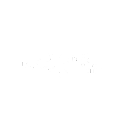 COc1ccc2c(=O)c(-c3ccc(C4(NC(=O)OC(C)(C)C)CCC4)cc3)c(-c3ccccc3)oc2c1